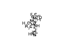 Cc1nc(C(=O)N2CCOCC2C(F)(F)F)nc(NCCc2cn[nH]c2)c1C